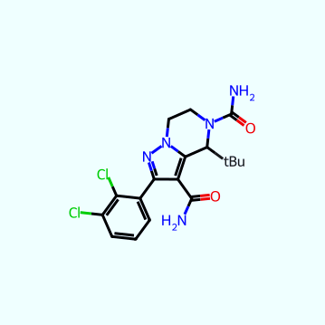 CC(C)(C)C1c2c(C(N)=O)c(-c3cccc(Cl)c3Cl)nn2CCN1C(N)=O